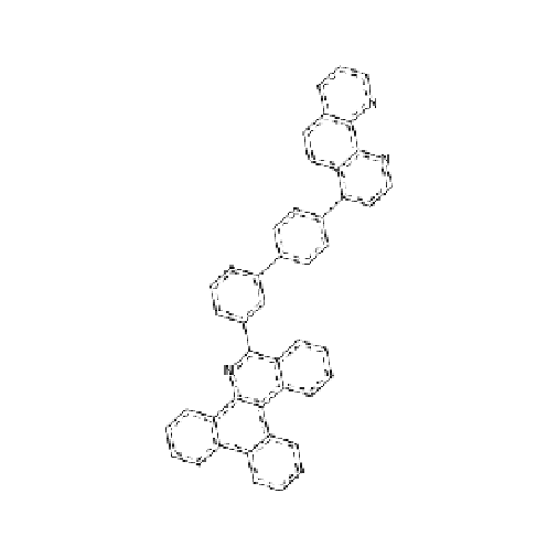 c1cc(-c2ccc(-c3ccnc4c3ccc3cccnc34)cc2)cc(-c2nc3c4ccccc4c4ccccc4c3c3ccccc23)c1